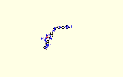 C=C1CCN(c2ccc(N3CCC(CN4CCN(c5ccc6c(c5)CCn5nc(-c7cnc(C(=C)Nc8cccc(C)n8)c(C)c7)c(C(N)=O)c5N6)CC4)CC3)cc2)C(=C)N1